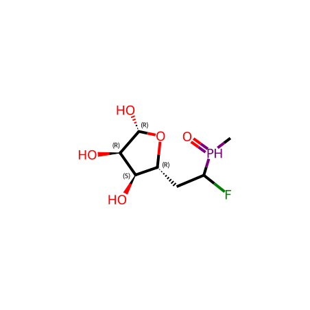 C[PH](=O)C(F)C[C@H]1O[C@@H](O)[C@H](O)[C@@H]1O